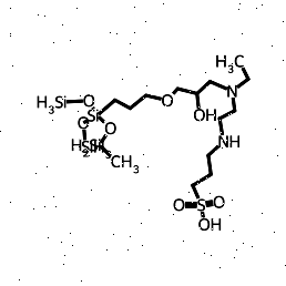 CCN(CCNCCCS(=O)(=O)O)CC(O)COCCC[Si](O[SiH3])(O[SiH3])O[SiH2]C